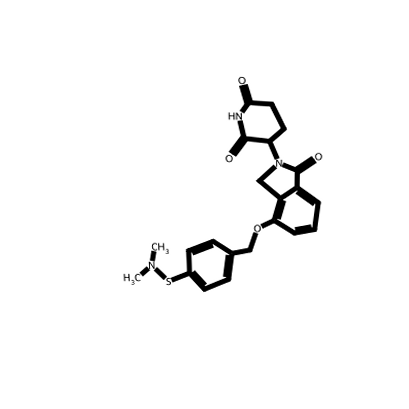 CN(C)Sc1ccc(COc2cccc3c2CN(C2CCC(=O)NC2=O)C3=O)cc1